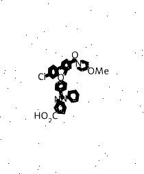 COC1CCN(C(=O)c2ccc(-c3ccc(Cl)cc3)c(COc3ccc(-c4nc5cc(C(=O)O)ccc5n4C4CCCCC4)cc3)c2)CC1